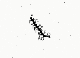 OC(C1CO1)C(F)(F)C(F)(F)C(F)(F)C(F)(F)C(F)(F)C(F)(F)C(F)(F)CF